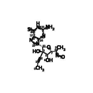 CC#C[C@@]1(O)C(O)[C@@H]([C@@H](C)N=O)O[C@H]1n1cnc2c(=S)[nH]c(N)nc21